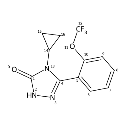 O=c1[nH]nc(-c2ccccc2OC(F)(F)F)n1C1CC1